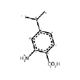 CC(I)c1ccc(C(=O)O)c(N)c1